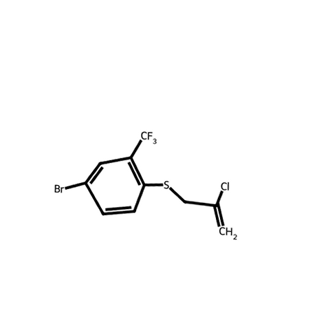 C=C(Cl)CSc1ccc(Br)cc1C(F)(F)F